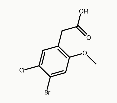 COc1cc(Br)c(Cl)cc1CC(=O)O